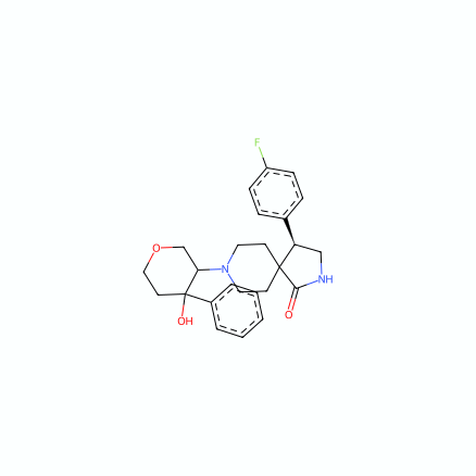 O=C1NC[C@H](c2ccc(F)cc2)C12CCN(C1COCCC1(O)c1ccccc1)CC2